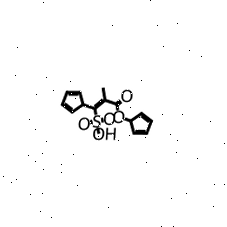 CC(C(=O)OC1C=CC=C1)=C(C1C=CC=C1)S(=O)(=O)O